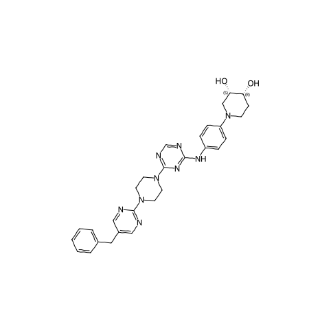 O[C@@H]1CCN(c2ccc(Nc3ncnc(N4CCN(c5ncc(Cc6ccccc6)cn5)CC4)n3)cc2)C[C@@H]1O